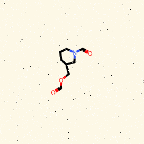 O=COCC1CCCN(C=O)C1